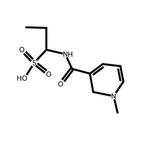 CCC(NC(=O)C1=CC=CN(C)C1)S(=O)(=O)O